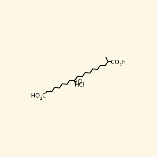 CC(CCCCCCCCCCCCCCCCC(=O)O)C(=O)O.Cl.Cl